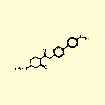 CCCCCC1CCC(C(=O)Cc2ccc(-c3ccc(OCC)cc3)cc2)C(=O)C1